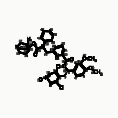 COc1ccc([C@H](Cc2c(Cl)c[n+]([O-])cc2Cl)OC(=O)c2cccc(CN(C(=O)O[C@H]3CN4CCC3CC4)c3ccccc3)n2)cc1OC